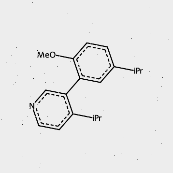 COc1ccc(C(C)C)cc1-c1cnccc1C(C)C